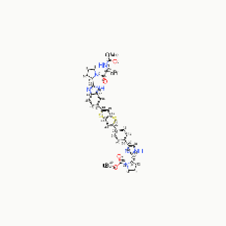 COC(=O)N[C@H](C(=O)N1CCCC1c1nc2ccc(-c3cc4sc(-c5ccc(-c6c[nH]c([C@@H]7CCCN7C(=O)OC(C)(C)C)n6)cc5)cc4s3)cc2[nH]1)C(C)C